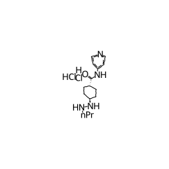 CCCNN[C@H]1CC[C@H](C(=O)Nc2ccncc2)CC1.Cl.Cl